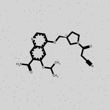 CC(C)Oc1cc2c(OC[C@H]3CCN(C(=O)CC#N)C3)ccnc2cc1C(N)=O